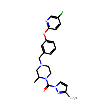 CC1CN(Cc2cccc(Oc3ccc(F)cn3)c2)CCN1C(=O)n1ccc(C(=O)O)n1